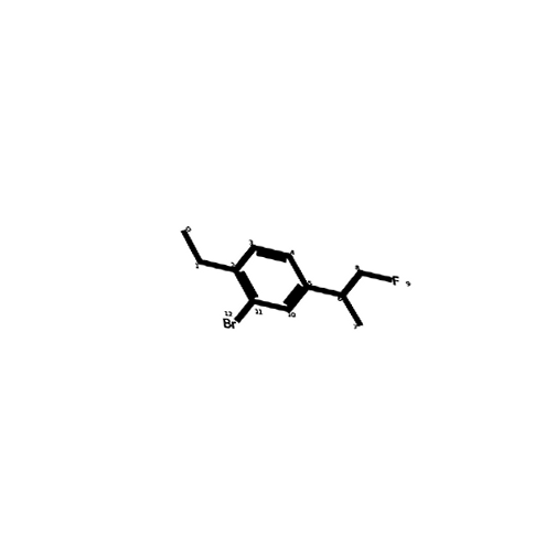 CCc1ccc([C](C)CF)cc1Br